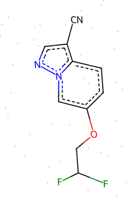 N#Cc1cnn2cc(OCC(F)F)ccc12